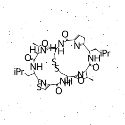 CC(C)CC1NC(=O)[C@H]2N=C(O[C@@H]2C)[C@H]2CSSC[C@@H](NC(=O)c3csc1n3)C1=NC(C(=O)N[C@H](CC(C)C)C3=NC(=CC3)C(=O)N2)[C@@H](C)O1